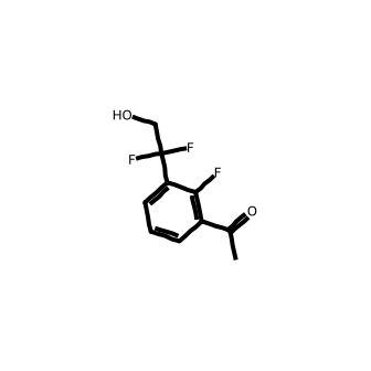 CC(=O)c1cccc(C(F)(F)CO)c1F